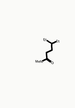 CCC(CC)CCC(=O)NC